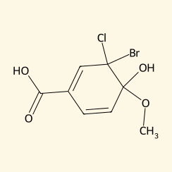 COC1(O)C=CC(C(=O)O)=CC1(Cl)Br